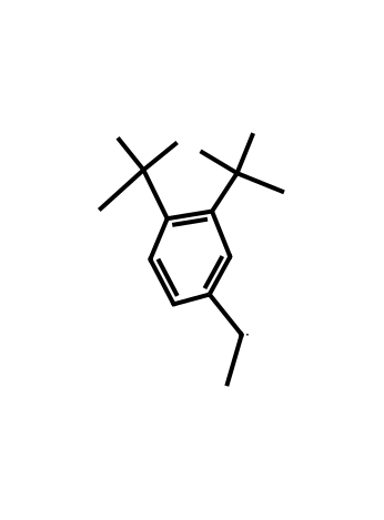 C[CH]c1ccc(C(C)(C)C)c(C(C)(C)C)c1